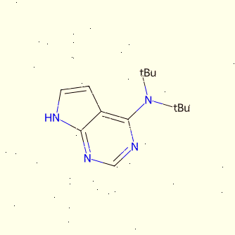 CC(C)(C)N(c1ncnc2[nH]ccc12)C(C)(C)C